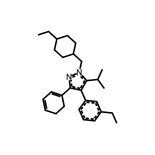 CCc1cccc(-c2c(C3=CC=CCC3)nn(CC3CCC(CC)CC3)c2C(C)C)c1